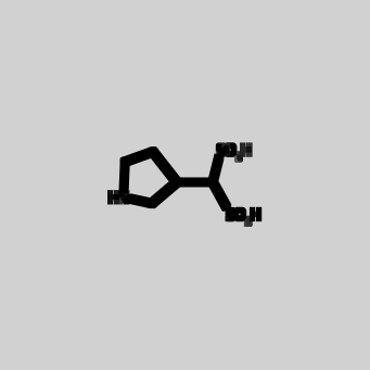 O=S(=O)(O)C(C1CCNC1)S(=O)(=O)O